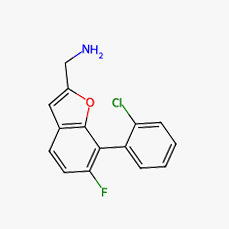 NCc1cc2ccc(F)c(-c3ccccc3Cl)c2o1